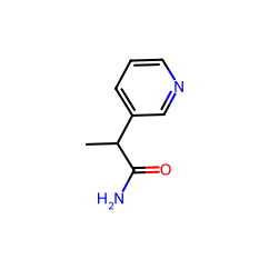 CC(C(N)=O)c1cccnc1